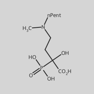 CCCCCN(C)CCC(O)(C(=O)O)P(=O)(O)O